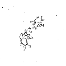 Cc1cc(C)c(S(=O)(=O)NCCc2c[nH]c3ccccc23)c(C)c1